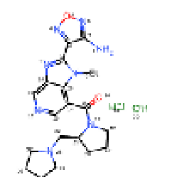 CCn1c(-c2nonc2N)nc2cncc(C(=O)N3CCC[C@H]3CN3CCCC3)c21.Cl.Cl